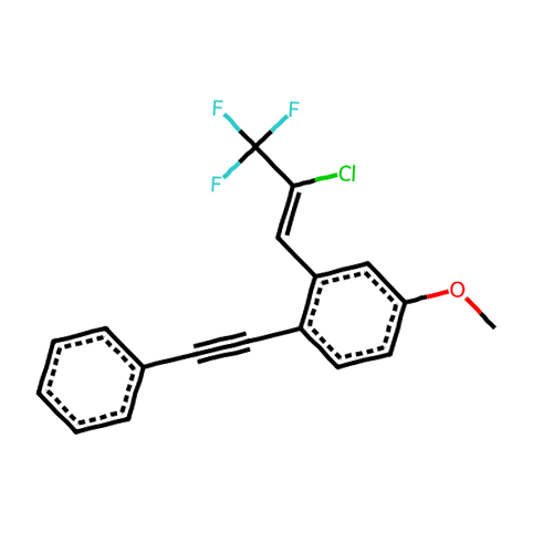 COc1ccc(C#Cc2ccccc2)c(C=C(Cl)C(F)(F)F)c1